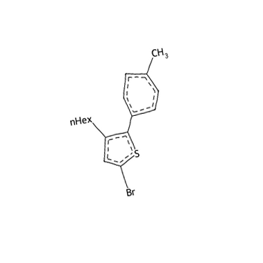 CCCCCCc1cc(Br)sc1-c1ccc(C)cc1